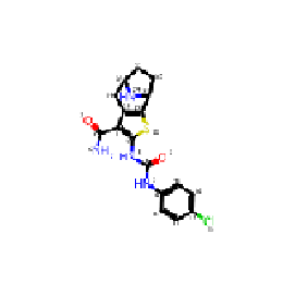 NC(=O)c1c(NC(=O)Nc2ccc(Cl)cc2)sc2c1CC1CCC2N1